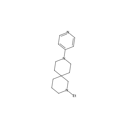 CCN1CCCC2(CCN(c3ccncc3)CC2)C1